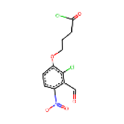 O=Cc1c([N+](=O)[O-])ccc(OCCCC(=O)Cl)c1Cl